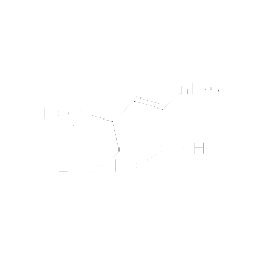 CC(=O)O.CCCCCCC=CC(CC(=O)O)C(=O)O